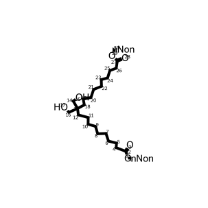 CCCCCCCCCOC(=O)CCCCCCCCCC(CO)(CO)CCCCCCCCCC(=O)OCCCCCCCCC